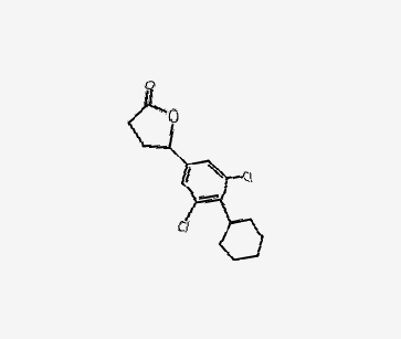 O=C1CCC(c2cc(Cl)c(C3CCCCC3)c(Cl)c2)O1